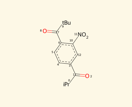 CC(C)C(=O)c1ccc(C(=O)C(C)(C)C)c([N+](=O)[O-])c1